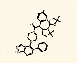 CC(C)(C)OC(=O)N1C([C@@H](C(=O)N2CCN(c3c(-c4ccccc4)cnc4[nH]ncc34)CC2)c2ccc(Cl)cc2)CCC1(C)C